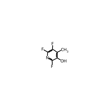 Cc1c(O)c(F)nc(F)c1F